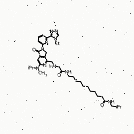 CCn1cnnc1-c1cccc(N2Cc3c(cc(N(C)C(C)C)nc3CNCC(=O)NCCCCCCCCCCC(=O)NCC(C)C)C2=O)n1